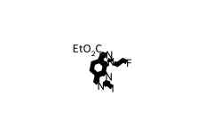 CCOC(=O)c1nn(CCF)c2c1CCc1cnc(I)nc1-2